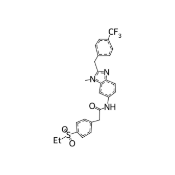 CCS(=O)(=O)c1ccc(CC(=O)Nc2ccc3nc(Cc4ccc(C(F)(F)F)cc4)n(C)c3c2)cc1